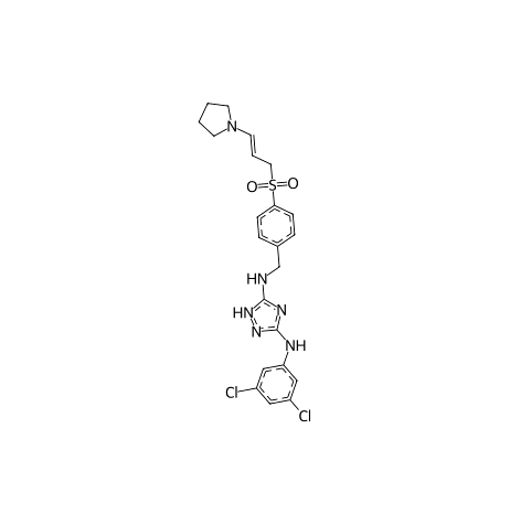 O=S(=O)(CC=CN1CCCC1)c1ccc(CNc2nc(Nc3cc(Cl)cc(Cl)c3)n[nH]2)cc1